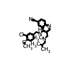 COc1ccc(CNc2c(CN(C)CC(C)C)cnc3ccc(C#N)cc23)cc1Cl